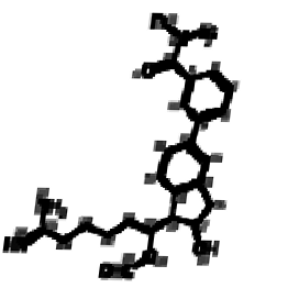 CCN(CC)C(=O)c1cccc(-c2ccc3c(c2)CC(O)C3C(CCCCC(=N)N)OC=O)c1